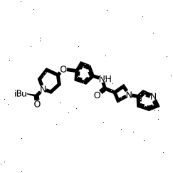 CC[C@H](C)C(=O)N1CCC(Oc2ccc(NC(=O)C3CN(c4cccnc4)C3)cc2)CC1